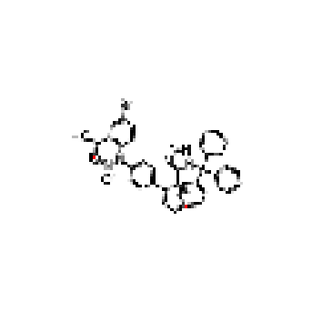 O=C(O)c1cc(Br)ccc1N(c1ccc(-c2ccccc2-c2nnnn2C(c2ccccc2)(c2ccccc2)c2ccccc2)cc1)[N+](=O)[O-]